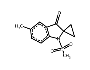 Cc1ccc2c(c1)C(=O)C1(CC1)N2S(C)(=O)=O